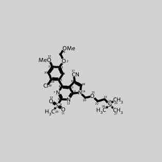 COCOc1cc(-c2nc(S(C)(=O)=O)nc3c2c(C#N)cn3COCC[Si](C)(C)C)c(Cl)cc1OC